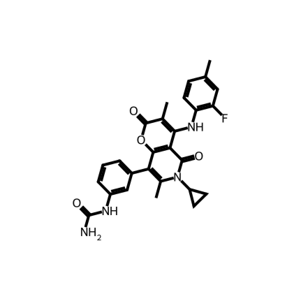 Cc1ccc(Nc2c(C)c(=O)oc3c(-c4cccc(NC(N)=O)c4)c(C)n(C4CC4)c(=O)c23)c(F)c1